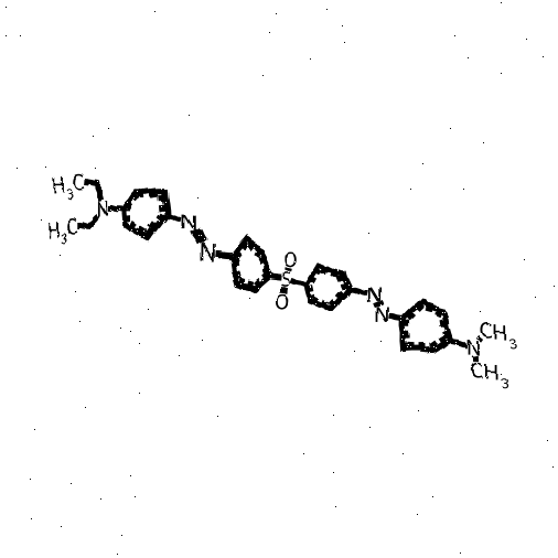 CCN(CC)c1ccc(N=Nc2ccc(S(=O)(=O)c3ccc(N=Nc4ccc(N(C)C)cc4)cc3)cc2)cc1